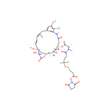 COc1cc2cc(c1Cl)N(C)C(=O)C[C@H](OC(=O)[C@H](C)N(C)C(=O)CCC(C)(C)SSCCC(=O)ON1C(=O)CCC1=O)[C@]1(C)O[C@H]1[C@H](C)C1C[C@@](O)(NC(=O)O1)[C@H](OC)/C=C/C=C(\C)C2